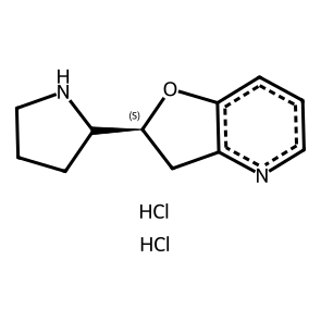 Cl.Cl.c1cnc2c(c1)O[C@H](C1CCCN1)C2